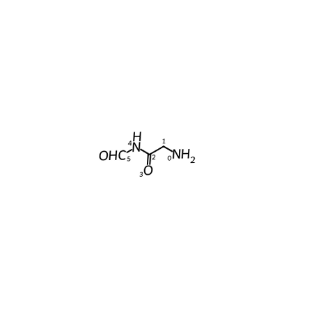 NCC(=O)NC=O